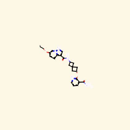 NC(=O)c1cccnc1OC1CC2(CC(NC(=O)c3cnn4cc(OCCC(F)(F)F)ccc34)C2)C1